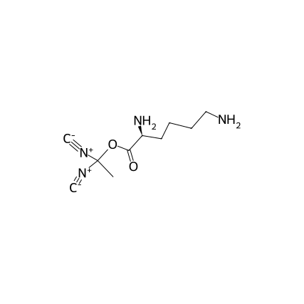 [C-]#[N+]C(C)([N+]#[C-])OC(=O)[C@@H](N)CCCCN